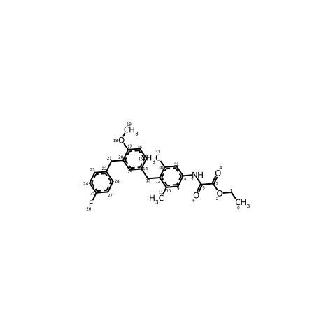 CCOC(=O)C(=O)Nc1cc(C)c(Cc2ccc(OC)c(Cc3ccc(F)cc3)c2)c(C)c1